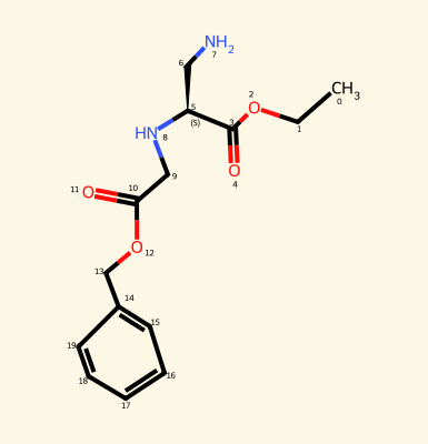 CCOC(=O)[C@H](CN)NCC(=O)OCc1ccccc1